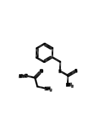 COC(=O)CN.NC(=S)SCc1ccccc1